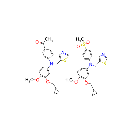 COc1ccc(N(Cc2cncs2)c2ccc(C(C)=O)cc2)cc1OCC1CC1.COc1ccc(N(Cc2cncs2)c2ccc(S(C)(=O)=O)cc2)cc1OCC1CC1